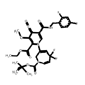 CCOC(=O)C1=C(OC)C(=C=O)C(C(=O)NCc2ccc(F)cc2F)=CN1C1=CC(F)(F)C=CN(C(=O)OC(C)(C)C)C1